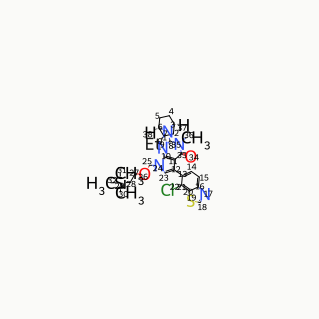 CC[C@@H]1C[C@@H]2CC[C@H]1N2c1nc2c(c(-c3ccc4ncsc4c3Cl)cn2COCC[Si](C)(C)C)c(=O)n1C